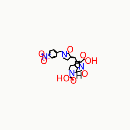 O=C(O)C1=C(/C=C2\CCN(Cc3ccc([N+](=O)[O-])cc3)C2=O)C2CCN(C(=O)O)[C@@H]3C(=O)N1[C@H]23